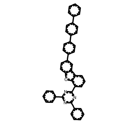 c1ccc(-c2ccc(-c3ccc(-c4ccc5oc6c(-c7nc(-c8ccccc8)nc(-c8ccccc8)n7)cccc6c5c4)cc3)cc2)cc1